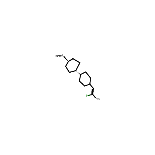 CCCCC[C@H]1CC[C@H](C2CCC(C=C(F)C#N)CC2)CC1